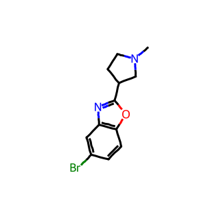 CN1CCC(c2nc3cc(Br)ccc3o2)C1